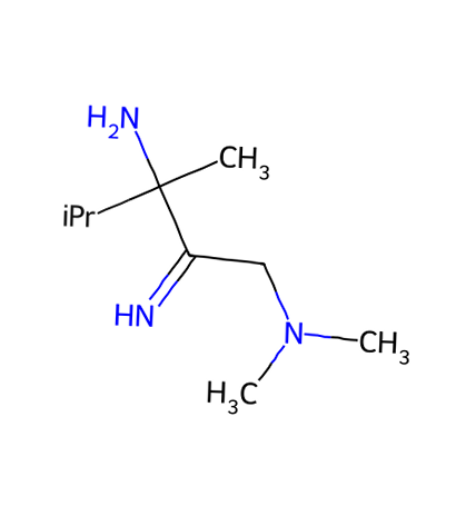 CC(C)C(C)(N)C(=N)CN(C)C